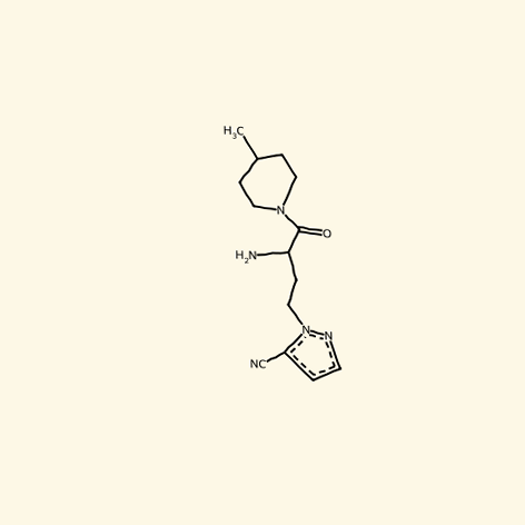 CC1CCN(C(=O)C(N)CCn2nccc2C#N)CC1